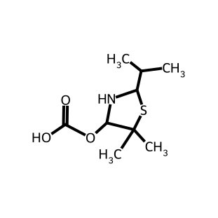 CC(C)C1NC(OC(=O)O)C(C)(C)S1